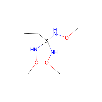 CC[Si](NOC)(NOC)NOC